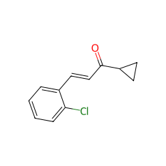 O=C(/C=C/c1ccccc1Cl)C1CC1